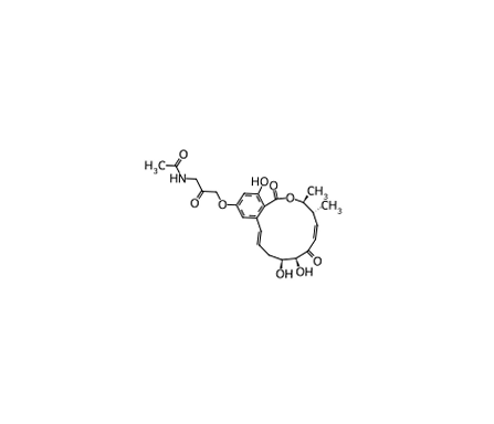 CC(=O)NCC(=O)COc1cc(O)c2c(c1)/C=C/C[C@H](O)[C@H](O)C(=O)/C=C\[C@@H](C)[C@H](C)OC2=O